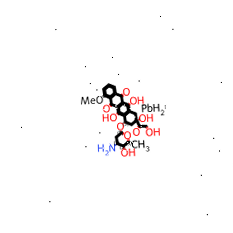 COc1cccc2c1C(=O)c1c(O)c3c(c(O)c1C2=O)C[C@@](O)(C(=O)CO)C[C@@H]3O[C@H]1C[C@H](N)[C@H](O)[C@H](C)O1.[PbH2]